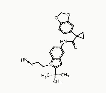 CC(C)(C)c1cc2cc(NC(=O)C3(c4ccc5c(c4)OCO5)CC3)ccc2n1CCN=N